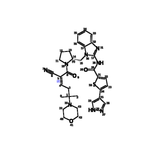 CC(C)(C/C=C(/C#N)C(=O)N1CCC[C@@H]1Cn1c(NC(=O)c2ccc(-c3cn[nH]c3)s2)nc2ccccc21)N1CCOCC1